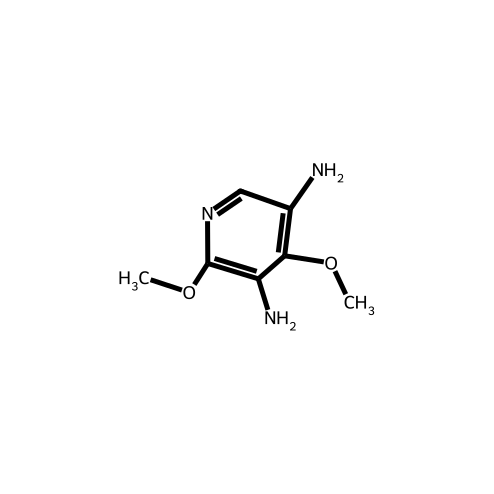 COc1ncc(N)c(OC)c1N